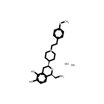 COc1ccc(CCN2CCC([C@@H]3Cc4c(ccc(O)c4O)[C@H](CN)O3)CC2)cc1.Cl.Cl